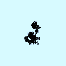 C=CCOC(=O)c1cc(COC(=O)N(C)CCCCCCOc2ccc3c4c([nH]c3c2)[S+]([O-])C[C@@H]2NC(=O)CNC(=O)[C@H]([C@@H](C)CC)NC(=O)CNC(=O)[C@H](C4)NC(=O)[C@H]([C@@H](C)[C@@H](O)CO)NC(=O)[C@@H]3C[C@@H](O)CN3C(=O)[C@H](CC(N)=O)NC2=O)ccc1O[C@@H]1O[C@H](C(=O)OC)[C@@H](OC(C)=O)[C@H](OC(C)=O)[C@H]1OC(C)=O